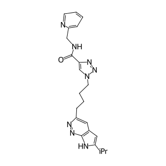 CC(C)c1cc2cc(CCCCn3cc(C(=O)NCc4ccccn4)nn3)nnc2[nH]1